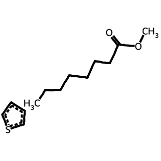 CCCCCCCC(=O)OC.c1ccsc1